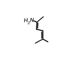 CC(C)=C/C=C(\C)N